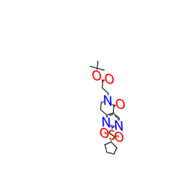 CC(C)(C)OC(=O)CCN1CCc2nc(S(=O)(=O)C3CCCC3)ncc2C1=O